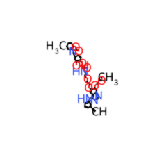 C#Cc1cccc(Nc2ncnc3cc(OCCOC)c(OCCOCCNC(=O)COc4ccc(Cn5c(=O)oc6ccc(C)cc65)cc4O)cc23)c1